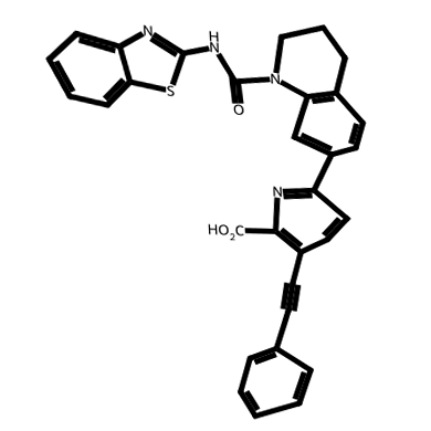 O=C(O)c1nc(-c2ccc3c(c2)N(C(=O)Nc2nc4ccccc4s2)CCC3)ccc1C#Cc1ccccc1